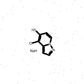 Sc1ccn2nccc2c1Cl.[NaH]